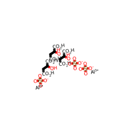 O=C(O)CC(O)C(=O)O.O=C(O)CC(O)C(=O)O.O=C(O)CC(O)C(=O)O.O=S(=O)([O-])[O-].O=S(=O)([O-])[O-].O=S(=O)([O-])[O-].[Al+3].[Al+3]